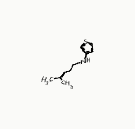 CC(C)=CCCNc1ccsc1